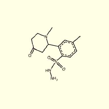 Cc1ccc(S(=O)(=O)NN)c(C2CC(=O)CCN2C)c1